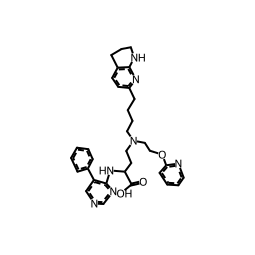 O=C(O)C(CCN(CCCCc1ccc2c(n1)NCCC2)CCOc1ccccn1)Nc1ncncc1-c1ccccc1